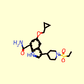 CCS(=O)(=O)N1CCC(c2c[nH]c3c(C(N)=O)cc(OCC4CC4)cc23)CC1